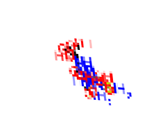 NS(=O)(=O)c1ccc(NC(=O)CN(CCN(CC(=O)Nc2ccc(S(N)(=O)=O)cc2)CC(=O)N[C@@H](CNC(=S)Nc2ccc(-c3c4ccc(=O)cc-4oc4cc(O)ccc34)c(C(=O)O)c2)C(=O)O)CC(=O)O)cc1